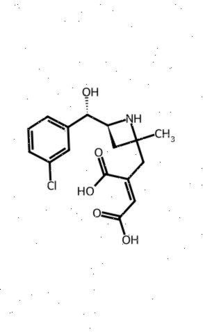 CC1(C/C(=C/C(=O)O)C(=O)O)C[C@@H]([C@@H](O)c2cccc(Cl)c2)N1